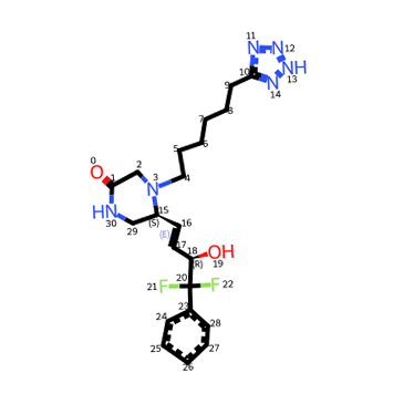 O=C1CN(CCCCCCc2nn[nH]n2)[C@@H](/C=C/[C@@H](O)C(F)(F)c2ccccc2)CN1